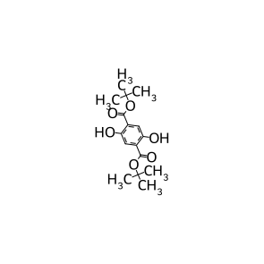 CC(C)(C)OC(=O)c1cc(O)c(C(=O)OC(C)(C)C)cc1O